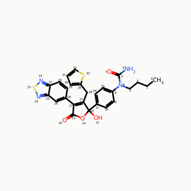 CCCCN(C(N)=O)c1ccc(C2(O)OC(=O)C(c3ccc4nsnc4c3)=C2Cc2cccs2)cc1